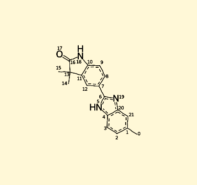 Cc1ccc2[nH]c(-c3ccc4c(c3)C(C)(C)C(=O)N4)nc2c1